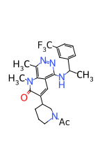 CC(=O)N1CCCC(c2cc3c(NC(C)c4cccc(C(F)(F)F)c4)nnc(C)c3n(C)c2=O)C1